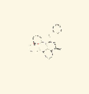 C[C@@H]1CN(c2cncc3c(=O)cc(Nc4ccccc4)n(-c4ccccc4)c23)C[C@H](C)O1